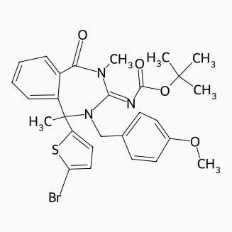 COc1ccc(CN2C(=NC(=O)OC(C)(C)C)N(C)C(=O)c3ccccc3C2(C)c2ccc(Br)s2)cc1